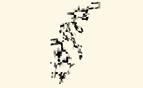 COCC1CC(NC(=O)c2ccc(Cl)s2)CN1C(=O)c1nc2c(s1)CCN(C)CC2